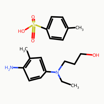 CCN(CCCO)c1ccc(N)c(C)c1.Cc1ccc(S(=O)(=O)O)cc1